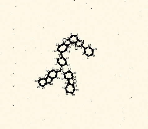 c1ccc(-c2nc3ccc4oc5ccc(-c6ccc(N(c7ccc8c(c7)sc7ccccc78)c7ccc8oc9ccccc9c8c7)cc6)cc5c4c3o2)cc1